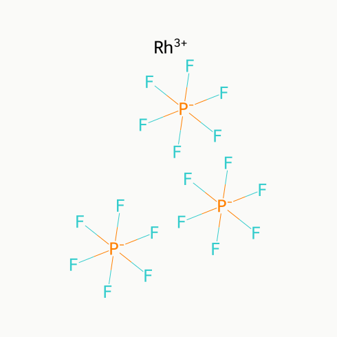 F[P-](F)(F)(F)(F)F.F[P-](F)(F)(F)(F)F.F[P-](F)(F)(F)(F)F.[Rh+3]